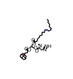 CCCCC/C=C\C/C=C\CCCCCCCC(=O)OCC(COC(=O)CCC12CC3CC(CC(C3)C1)C2)COC(=O)[C@H](Cc1c[nH]cn1)N(C)C